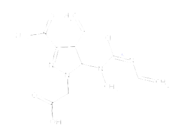 C=C/N=C(/Cl)N(C)C1C(C=C)C(C(C)=O)=NN1CC(=O)O